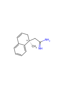 C[C@@]1(CC(=N)N)CC=Cc2ccccc21